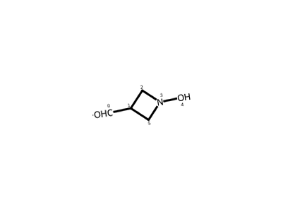 O=[C]C1CN(O)C1